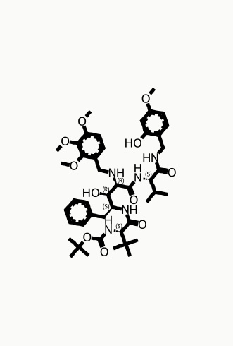 COc1ccc(CNC(=O)[C@@H](NC(=O)[C@H](NCc2ccc(OC)c(OC)c2OC)[C@H](O)[C@H](Cc2ccccc2)NC(=O)[C@@H](NC(=O)OC(C)(C)C)C(C)(C)C)C(C)C)c(O)c1